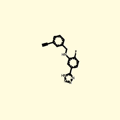 C#Cc1cccc(CNc2cc(-c3nnn[nH]3)ccc2F)c1